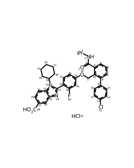 CC(C)NC(=O)c1cccc(-c2ccc(Cl)cc2)c1COc1ccc(-c2nc3cc(C(=O)O)ccc3n2C2CCCCC2)c(F)c1.Cl